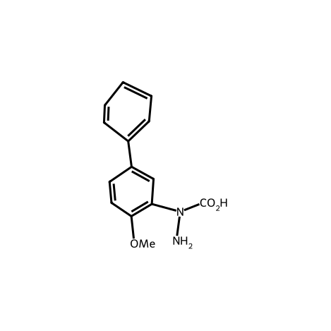 COc1ccc(-c2ccccc2)cc1N(N)C(=O)O